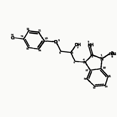 CCCCn1c(=N)n(CC(O)COc2ccc(Cl)cc2)c2ccccc21